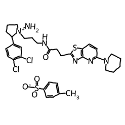 Cc1ccc(S(=O)(=O)[O-])cc1.N[N+]1(CCCNC(=O)CCc2nc3nc(N4CCCCC4)ccc3s2)CCCC1c1ccc(Cl)c(Cl)c1